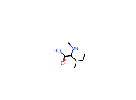 CCC(C)C(NC)C(N)=O